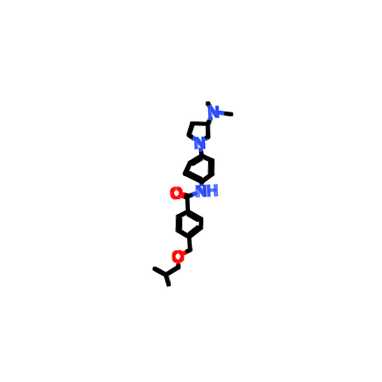 CC(C)COCc1ccc(C(=O)Nc2ccc(N3CCC(N(C)C)C3)cc2)cc1